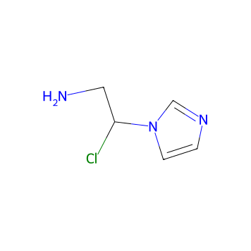 NCC(Cl)n1ccnc1